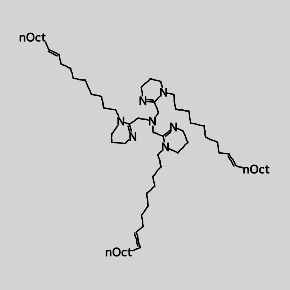 CCCCCCCCC=CCCCCCCCCN1CCCN=C1CN(CC1=NCCCN1CCCCCCCCC=CCCCCCCCC)CC1=NCCCN1CCCCCCCCC=CCCCCCCCC